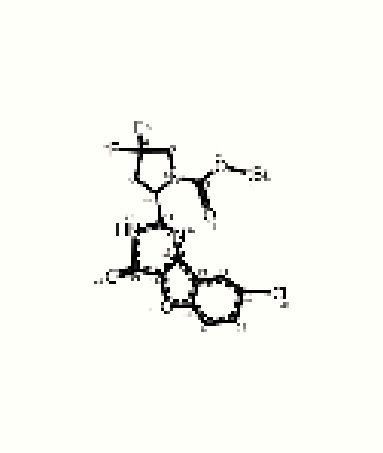 CC(C)(C)OC(=O)N1CC(F)(F)C[C@@H]1c1nc2c(oc3ccc(Cl)cc32)c(=O)[nH]1